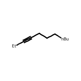 CCC#CCCCCCCC